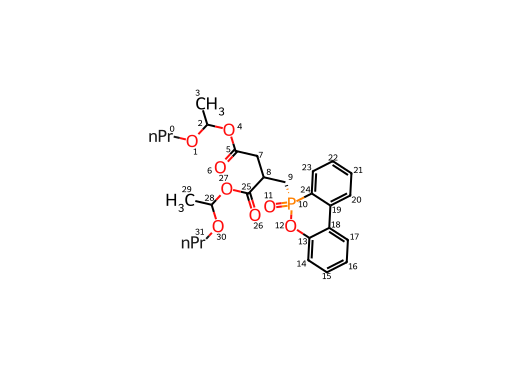 CCCOC(C)OC(=O)CC(C[P@@]1(=O)Oc2ccccc2-c2ccccc21)C(=O)OC(C)OCCC